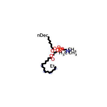 CC/C=C\C/C=C\C/C=C\C/C=C\CCCCC(=O)OC[C@H](COP(=O)([O-])OCC[N+](C)(C)C)OC(=O)CCCCCCCCCCCCCCCC